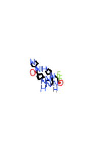 CN1CCC(NC(=O)c2ccc(Nc3ncc4c(n3)N(C3CCCC3)CC(F)(F)C(=O)N4)cc2)CC1